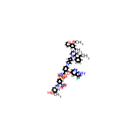 COc1cc(CN2CCN(C3CC4(C3)CN(c3ccc(C(=O)NS(=O)(=O)c5ccc(NC[C@H]6CC[C@](C)(O)CC6)c([N+](=O)[O-])c5)c(Oc5cnc6[nH]cc(F)c6c5)c3)C4)[C@H](c3ccccc3C(C)C)C2)cc2c1OCCC2